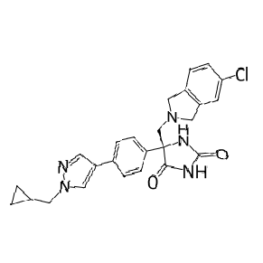 O=C1NC(=O)[C@](CN2Cc3ccc(Cl)cc3C2)(c2ccc(-c3cnn(CC4CC4)c3)cc2)N1